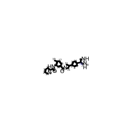 CN/C=C(\C=N)c1ccc(C2CN(C(=O)c3ccc(C)c(NC(=O)c4ccccn4)c3)C2)cc1